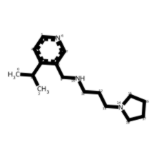 CC(C)c1ccncc1CNCCCN1CCCC1